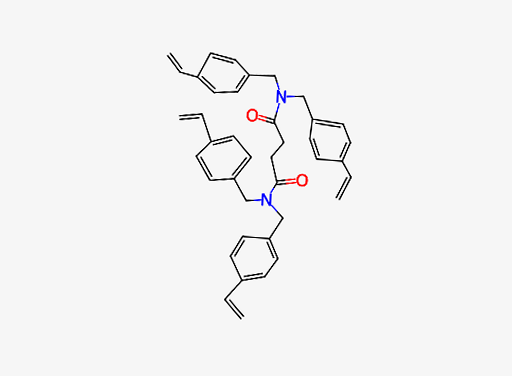 C=Cc1ccc(CN(Cc2ccc(C=C)cc2)C(=O)CCC(=O)N(Cc2ccc(C=C)cc2)Cc2ccc(C=C)cc2)cc1